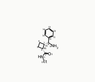 CCNC(=O)[C@@H]1CC[C@@H]1C(N)c1ccccc1